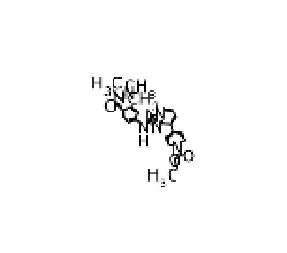 CCOC(=O)N1CC=C(c2cccn3nc(Nc4ccc(C(=O)N(CC)N(C)C)cc4)nc23)CC1